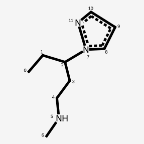 CCC(CCNC)n1cccn1